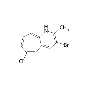 CC1=C(Br)C=C2C=C(Cl)C=CC=C2N1